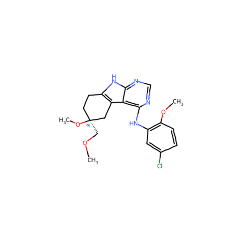 COC[C@]1(OC)CCc2[nH]c3ncnc(Nc4cc(Cl)ccc4OC)c3c2C1